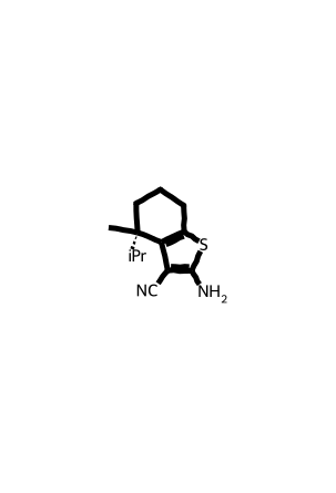 CC(C)[C@]1(C)CCCc2sc(N)c(C#N)c21